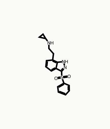 O=S(=O)(c1ccccc1)c1n[nH]c2c(CCNC3CC3)cccc12